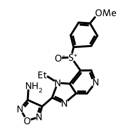 CCn1c(-c2nonc2N)nc2cncc([S+]([O-])c3ccc(OC)cc3)c21